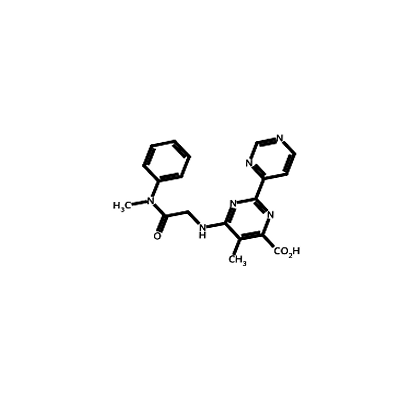 Cc1c(NCC(=O)N(C)c2ccccc2)nc(-c2ccncn2)nc1C(=O)O